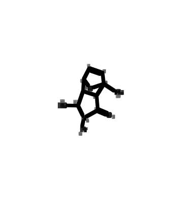 CC(C)N1C(=O)C2C(C3C=CC2(C(C)(C)C)O3)C1O